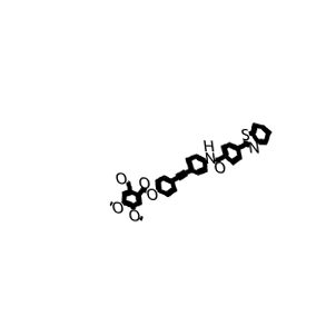 COc1cc(C=O)c(C(=O)Oc2ccc(C#Cc3ccc(NC(=O)c4ccc(-c5nc6ccccc6s5)cc4)cc3)cc2)cc1OC